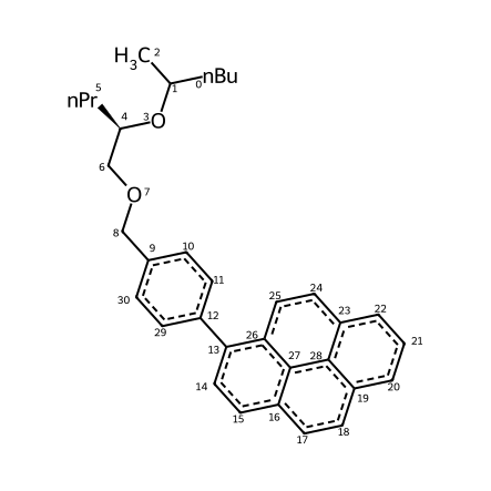 CCCCC(C)O[C@H](CCC)COCc1ccc(-c2ccc3ccc4cccc5ccc2c3c45)cc1